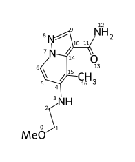 COCCNc1ccn2ncc(C(N)=O)c2c1C